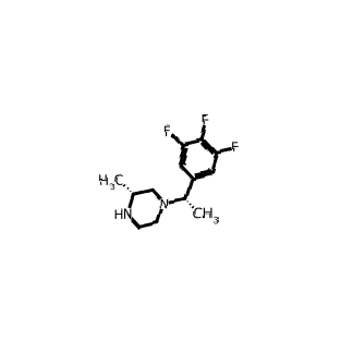 C[C@@H]1CN([C@@H](C)c2cc(F)c(F)c(F)c2)CCN1